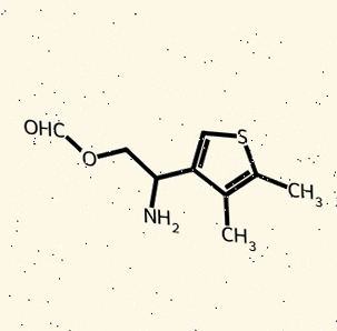 Cc1scc(C(N)COC=O)c1C